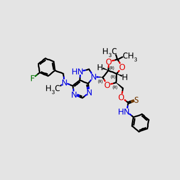 CN(Cc1cccc(F)c1)c1ncnc2c1NCN2[C@@H]1O[C@H](COC(=S)Nc2ccccc2)[C@H]2OC(C)(C)O[C@H]21